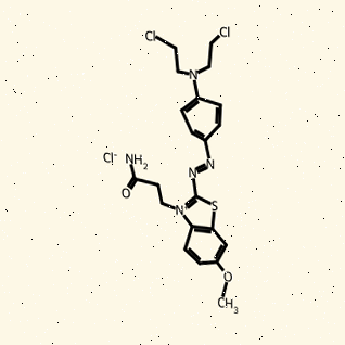 COc1ccc2c(c1)sc(N=Nc1ccc(N(CCCl)CCCl)cc1)[n+]2CCC(N)=O.[Cl-]